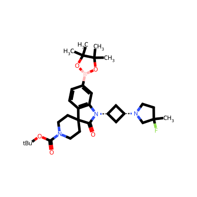 CC1(F)CCN([C@H]2C[C@@H](N3C(=O)C4(CCN(C(=O)OC(C)(C)C)CC4)c4ccc(B5OC(C)(C)C(C)(C)O5)cc43)C2)C1